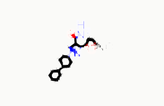 NC(=O)c1cn(-c2ccc(-c3ccccc3)cc2)nc1-c1ccc([N+](=O)[O-])o1